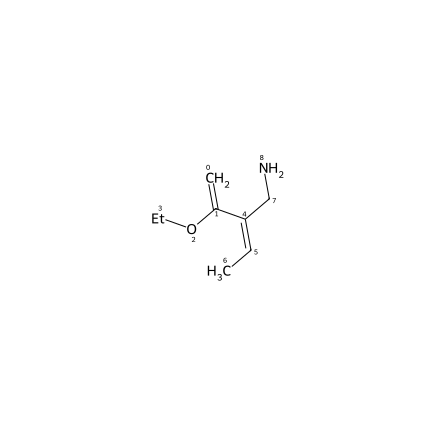 C=C(OCC)/C(=C\C)CN